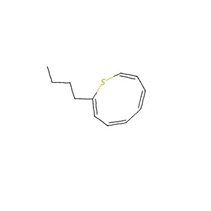 CCCCc1cccccccs1